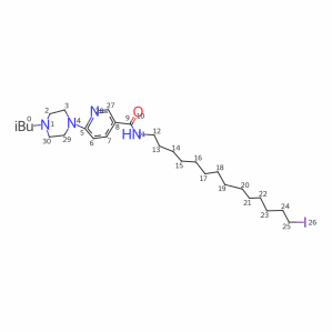 CCC(C)N1CCN(c2ccc(C(=O)NCCCCCCCCCCCCCCI)cn2)CC1